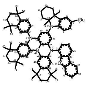 CC(C)(C)c1ccc2c(c1)C1(C)CCCCC1(C)N2c1cc2c3c(c1)N(c1cccc4c1oc1ccccc14)c1cc4c(cc1B3c1cc3c(cc1N2c1ccc2c(c1)C(C)(C)CCC2(C)C)C(C)(C)CCC3(C)C)C(C)(C)CCC4(C)C